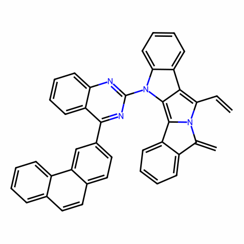 C=Cc1c2c3ccccc3n(-c3nc(-c4ccc5ccc6ccccc6c5c4)c4ccccc4n3)c2c2c3ccccc3c(=C)n12